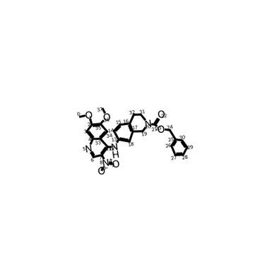 COc1cc2ncc([N+](=O)[O-])c(Nc3ccc4c(c3)CN(C(=O)OCc3ccccc3)CC4)c2cc1OC